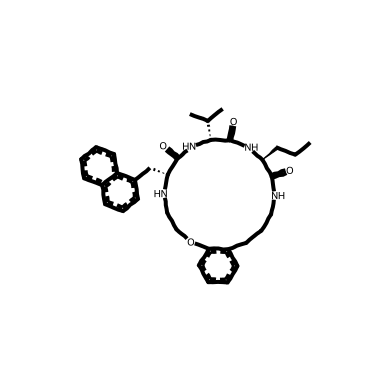 CCC[C@@H]1NC(=O)[C@@H](C(C)C)NC(=O)[C@@H](Cc2cccc3ccccc23)NCCOc2ccccc2CCCNC1=O